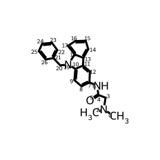 CN(C)CC(=O)Nc1ccc2c(c1)c1ccccc1n2Cc1ccccc1